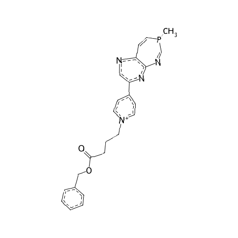 CP1C=Cc2ncc(-c3cc[n+](CCCC(=O)OCc4ccccc4)cc3)nc2N=C1